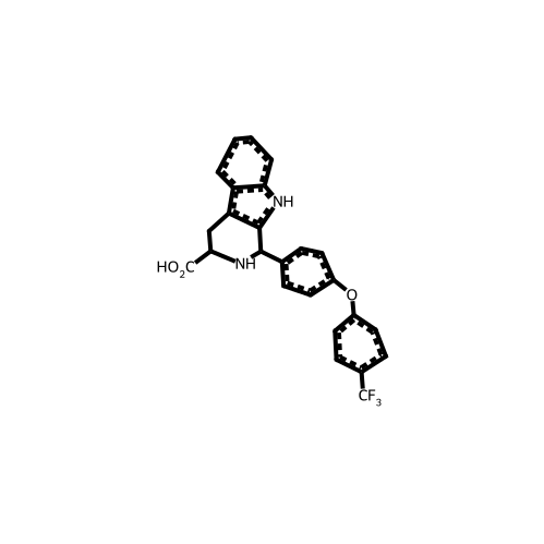 O=C(O)C1Cc2c([nH]c3ccccc23)C(c2ccc(Oc3ccc(C(F)(F)F)cc3)cc2)N1